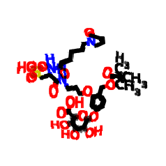 CC(C)(C)C(=O)OCc1ccc(O[C@@H]2O[C@H](C(=O)O)[C@@H](O)[C@H](O)[C@H]2O)cc1OCCCNC(=O)C(CS(=O)(=O)O)NC(=O)CCCCCN1CC=CC1=O